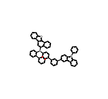 c1ccc(-c2ccccc2N(c2ccc(-c3cccc(-c4ccc5c(c4)c4ccccc4n5-c4ccccc4)c3)cc2)c2cc3c4ccccc4oc3c3ccccc23)cc1